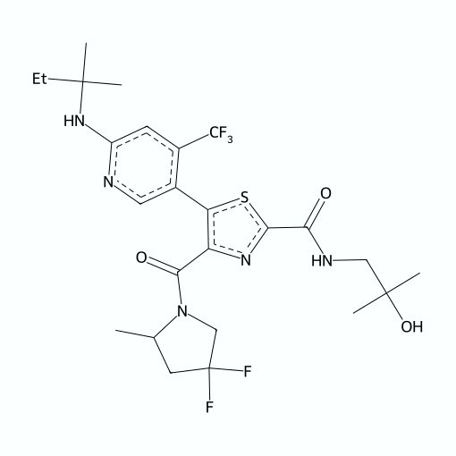 CCC(C)(C)Nc1cc(C(F)(F)F)c(-c2sc(C(=O)NCC(C)(C)O)nc2C(=O)N2CC(F)(F)CC2C)cn1